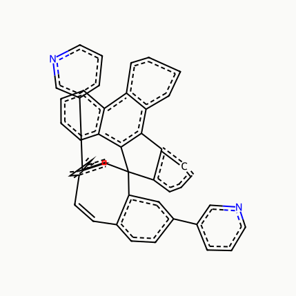 C1=Cc2ccc(-c3cccnc3)cc2C2(c3cc(-c4cccnc4)ccc31)c1ccccc1-c1c2c2ccccc2c2ccccc12